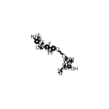 CC(C)(C)[C@H](NC(=O)COCCCCOc1ccc(-c2ncc(N3C(=S)N(c4ccc(C#N)c(C(F)(F)F)c4F)C(=O)C3(C)C)cc2F)c(C(F)(F)F)c1)C(=O)N1C[C@H](O)C[C@H]1C(=O)NCc1cncs1